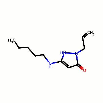 C=CCn1[nH]c(NCCCCC)cc1=O